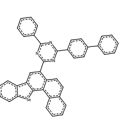 c1ccc(-c2ccc(-c3nc(-c4ccccc4)nc(-c4cc5c6ccccc6[se]c5c5c4ccc4ccccc45)n3)cc2)cc1